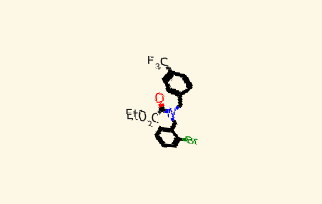 CCOC(=O)C(=O)N(Cc1ccc(C(F)(F)F)cc1)Cc1ccccc1Br